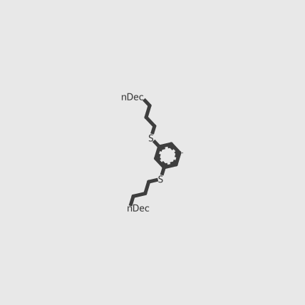 CCCCCCCCCCCCCSc1c[c]cc(SCCCCCCCCCCCCC)c1